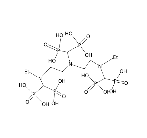 CCN(CCN(CCN(CC)C(P(=O)(O)O)P(=O)(O)O)C(P(=O)(O)O)P(=O)(O)O)C(P(=O)(O)O)P(=O)(O)O